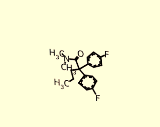 CCCC(C(=O)N(C)C)(c1ccc(F)cc1)c1ccc(F)cc1